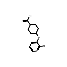 O=C(O)C1CCC(Oc2cccnc2F)CC1